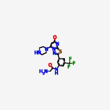 NCC(=O)Nc1cc(-c2nn3c(N4CCNCC4)cc(=O)nc3s2)cc(C(F)(F)F)c1